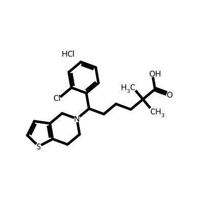 CC(C)(CCCC(c1ccccc1Cl)N1CCc2sccc2C1)C(=O)O.Cl